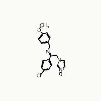 COc1ccc(CN=C(Cn2cc[n+]([O-])c2)c2ccc(Cl)cc2)cc1